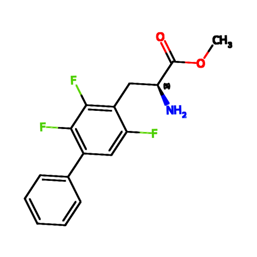 COC(=O)[C@@H](N)Cc1c(F)cc(-c2ccccc2)c(F)c1F